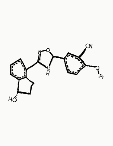 CC(C)Oc1ccc(C2NC(c3cccc4c3CC[C@@H]4O)=NO2)cc1C#N